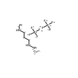 CC(C)NCCCNC(C)C.F[B-](F)(F)F.F[B-](F)(F)F.[Cu+2]